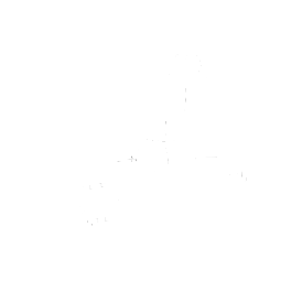 CCOCC1(CCc2cccs2)CCN(Cc2ccncc2)C1